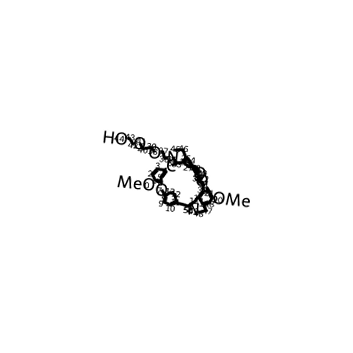 COc1ccc2cc1OC1=CC=C(CC1)CC1c3c(cc(OC)c4oc5cc6c(cc5occc34)C(C2)N(CCOCCOCCO)CC6)CCN1C